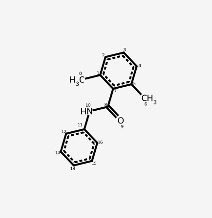 Cc1cccc(C)c1C(=O)Nc1ccccc1